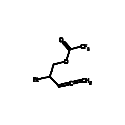 C=C=CC(CC)COC(=O)C(F)(F)F